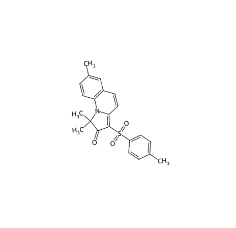 Cc1ccc(S(=O)(=O)C2=C3C=Cc4cc(C)ccc4N3C(C)(C)C2=O)cc1